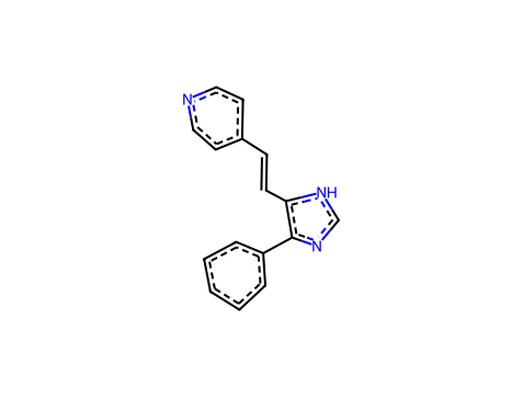 C(=Cc1[nH]cnc1-c1ccccc1)c1ccncc1